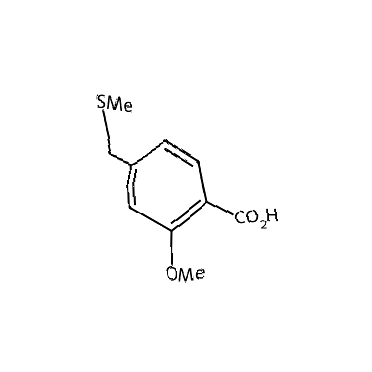 COc1cc(CSC)ccc1C(=O)O